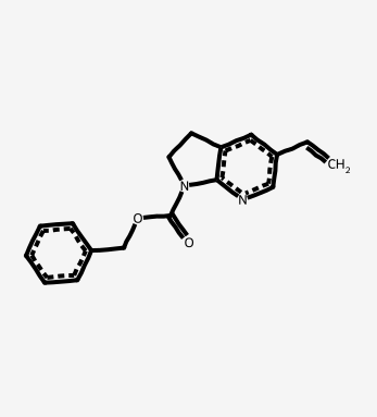 C=Cc1cnc2c(c1)CCN2C(=O)OCc1ccccc1